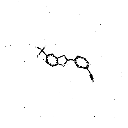 N#Cc1cc(C2Cc3cc(C(F)(F)F)ccc3O2)ccn1